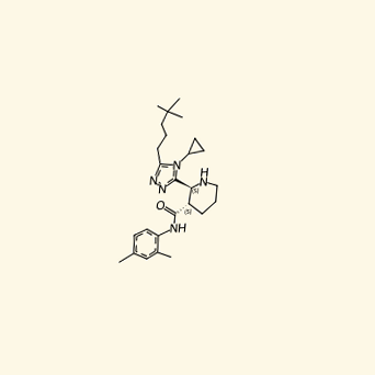 Cc1ccc(NC(=O)[C@H]2CCCN[C@@H]2c2nnc(CCCC(C)(C)C)n2C2CC2)c(C)c1